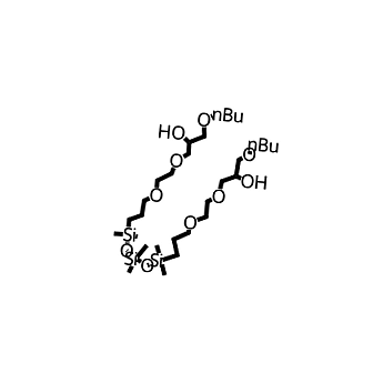 CCCCOCC(O)COCCOCCC[Si](C)(C)O[Si](C)(C)O[Si](C)(C)CCCOCCOCC(O)COCCCC